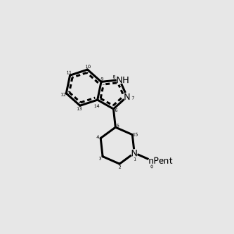 CCCCCN1CCCC(c2n[nH]c3ccccc23)C1